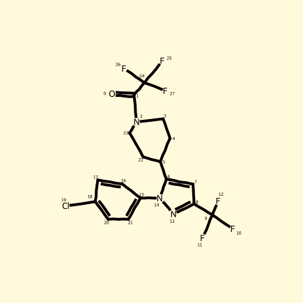 O=C(N1CCC(c2cc(C(F)(F)F)nn2-c2ccc(Cl)cc2)CC1)C(F)(F)F